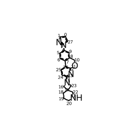 c1cnn(-c2ccc3c(c2)COc2nc(N4CC5(CCCNC5)C4)ccc2-3)c1